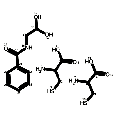 NC(CS)C(=O)O.NC(CS)C(=O)O.O=C(NCC(O)O)c1ccccc1